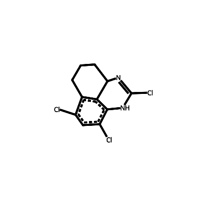 ClC1=NC2CCCc3c(Cl)cc(Cl)c(c32)N1